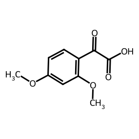 COc1ccc(C(=O)C(=O)O)c(OC)c1